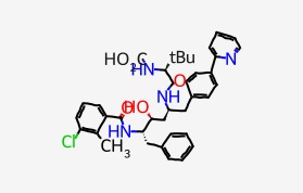 Cc1c(Cl)cccc1C(=O)N[C@@H](Cc1ccccc1)[C@@H](O)C[C@H](Cc1ccc(-c2ccccn2)cc1)NC(=O)[C@@H](NC(=O)O)C(C)(C)C